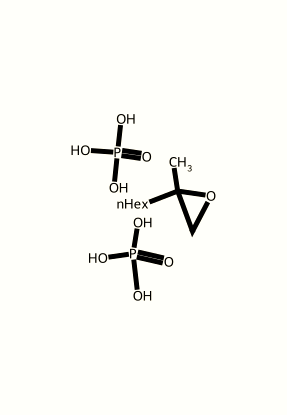 CCCCCCC1(C)CO1.O=P(O)(O)O.O=P(O)(O)O